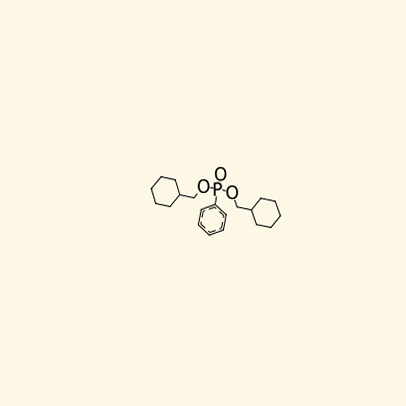 O=P(OCC1CCCCC1)(OCC1CCCCC1)c1ccccc1